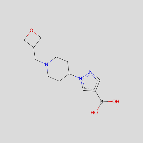 OB(O)c1cnn(C2CCN(CC3COC3)CC2)c1